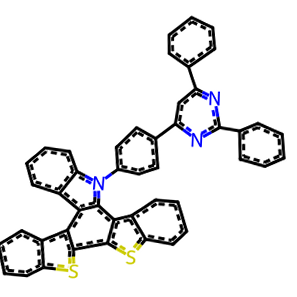 c1ccc(-c2cc(-c3ccc(-n4c5ccccc5c5c6c7ccccc7sc6c6sc7ccccc7c6c54)cc3)nc(-c3ccccc3)n2)cc1